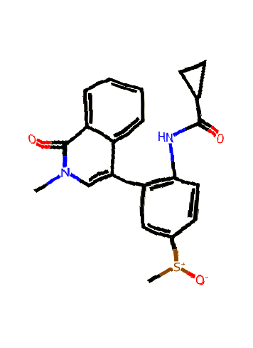 Cn1cc(-c2cc([S+](C)[O-])ccc2NC(=O)C2CC2)c2ccccc2c1=O